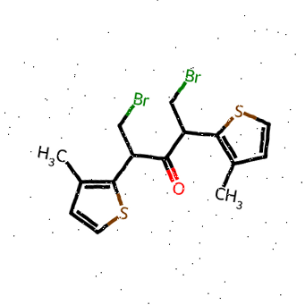 Cc1ccsc1C(CBr)C(=O)C(CBr)c1sccc1C